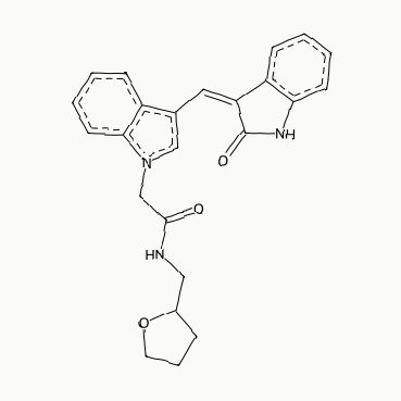 O=C(Cn1cc(C=C2C(=O)Nc3ccccc32)c2ccccc21)NCC1CCCO1